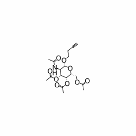 C#CCCO[C@@H]1O[C@H](COC(C)=O)[C@H](OC(C)=O)[C@H](OC(C)=O)[C@H]1NC(C)=O